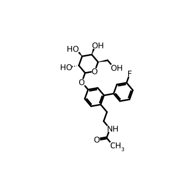 CC(=O)NCCc1ccc(OC2O[C@H](CO)[C@H](O)[C@H](O)[C@H]2O)cc1-c1cccc(F)c1